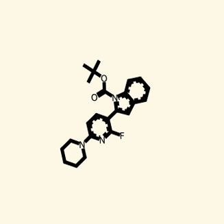 CC(C)(C)OC(=O)n1c(-c2ccc(N3CCCCC3)nc2F)cc2ccccc21